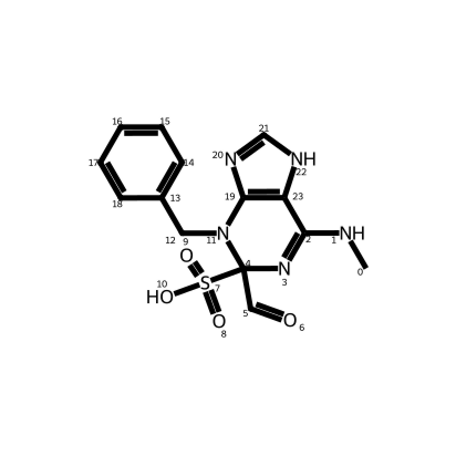 CNC1=NC(C=O)(S(=O)(=O)O)N(Cc2ccccc2)c2nc[nH]c21